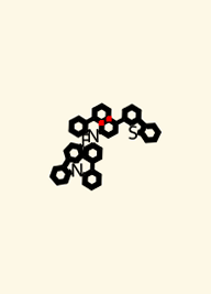 Fc1ccc2c3ccccc3n(-c3ccccc3-c3ccc(N(c4ccc(-c5cccc6c5sc5ccccc56)cc4)c4ccccc4-c4ccccc4)cc3)c2c1